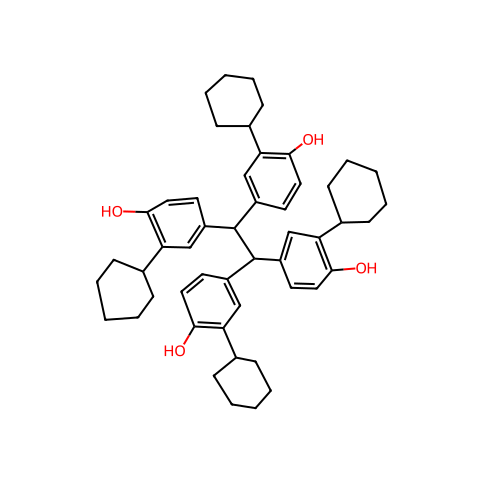 Oc1ccc(C(c2ccc(O)c(C3CCCCC3)c2)C(c2ccc(O)c(C3CCCCC3)c2)c2ccc(O)c(C3CCCCC3)c2)cc1C1CCCCC1